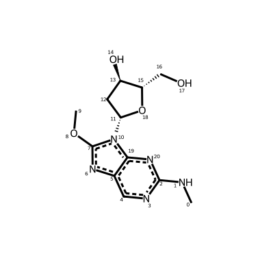 CNc1ncc2nc(OC)n([C@@H]3C[C@@H](O)[C@H](CO)O3)c2n1